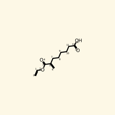 C=COC(=O)C(=C)CCCCCC(=O)O